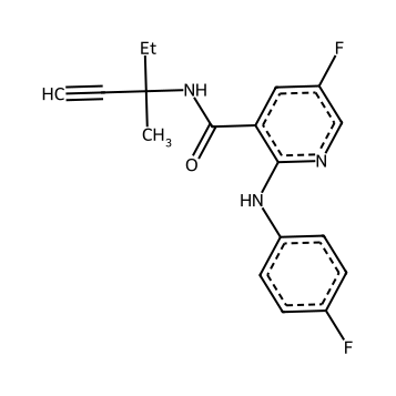 C#CC(C)(CC)NC(=O)c1cc(F)cnc1Nc1ccc(F)cc1